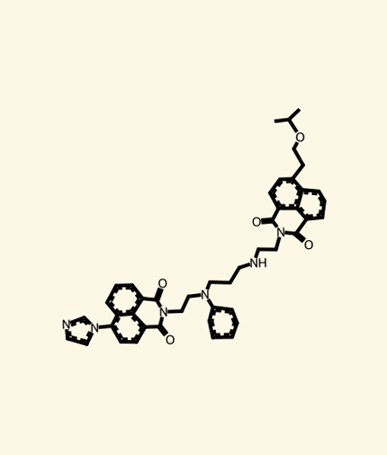 CC(C)OCCc1ccc2c3c(cccc13)C(=O)N(CCNCCCN(CCN1C(=O)c3cccc4c(-n5ccnc5)ccc(c34)C1=O)c1ccccc1)C2=O